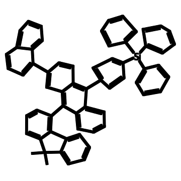 CC1(C)c2ccccc2-c2c(-c3c4ccccc4c(-c4ccc([Si](c5ccccc5)(c5ccccc5)c5ccccc5)cc4)c4ccc(-c5cccc6ccccc56)cc34)cccc21